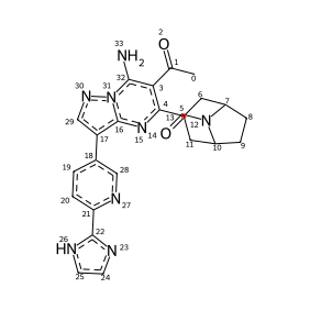 CC(=O)c1c(C2CC3CCC(C2)N3C=O)nc2c(-c3ccc(-c4ncc[nH]4)nc3)cnn2c1N